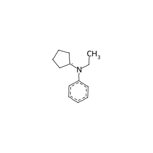 CCN([C]1CCCC1)c1ccccc1